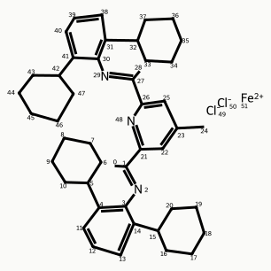 CC(=Nc1c(C2CCCCC2)cccc1C1CCCCC1)c1cc(C)cc(C(C)=Nc2c(C3CCCCC3)cccc2C2CCCCC2)n1.[Cl-].[Cl-].[Fe+2]